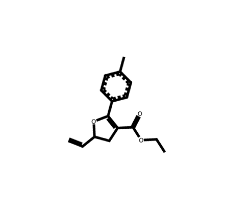 C=CC1CC(C(=O)OCC)=C(c2ccc(C)cc2)O1